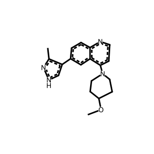 COC1CCN(c2ccnc3ccc(-c4c[nH]nc4C)cc23)CC1